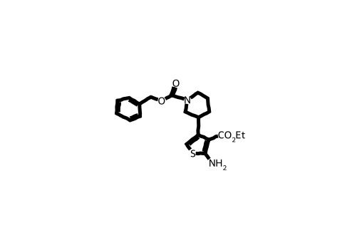 CCOC(=O)c1c(C2CCCN(C(=O)OCc3ccccc3)C2)csc1N